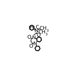 CC(C)(C)N(C(=O)CN1C(=O)CC(=O)N(c2ccccc2)c2ccccc21)c1ccccc1